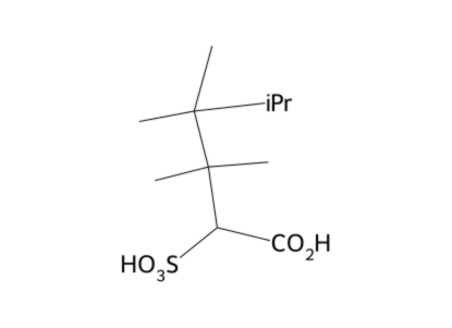 CC(C)C(C)(C)C(C)(C)C(C(=O)O)S(=O)(=O)O